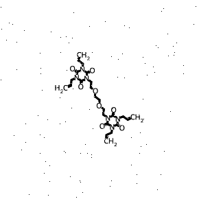 C=CCn1c(=O)n(CC=C)c(=O)n(CCOCCOCCn2c(=O)n(CC=C)c(=O)n(CC=C)c2=O)c1=O